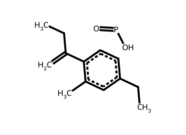 C=C(CC)c1ccc(CC)cc1C.O=PO